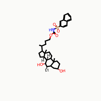 CC[C@@H]1C2C[C@H](O)CCC2(C)C2CCC3(C)C(C(C)CCCOC(=O)NS(=O)(=O)c4ccc5ccccc5c4)CC[C@H]3[C@H]2[C@@H]1O